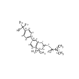 CN(C)C(=O)CN1Cc2cc(-c3ccc(C(F)(F)F)cc3)ccc2C(C)(C)C1